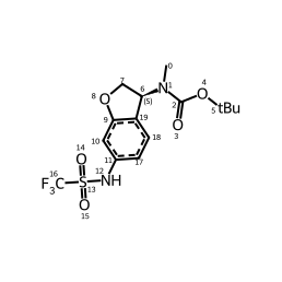 CN(C(=O)OC(C)(C)C)[C@@H]1COc2cc(NS(=O)(=O)C(F)(F)F)ccc21